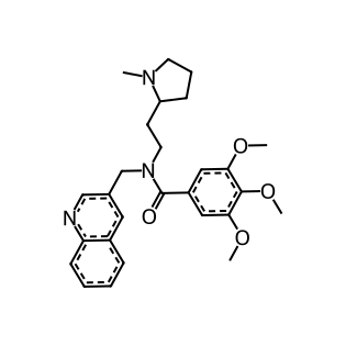 COc1cc(C(=O)N(CCC2CCCN2C)Cc2cnc3ccccc3c2)cc(OC)c1OC